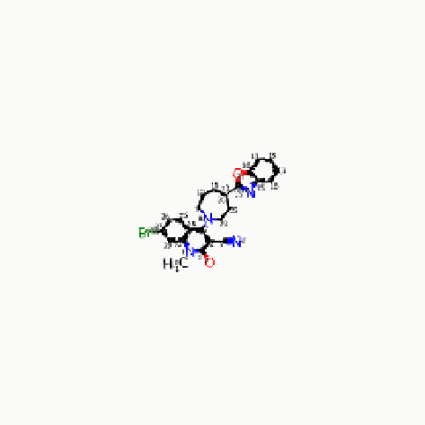 Cn1c(=O)c(C#N)c(N2CCC[C@@H](c3nc4ccccc4o3)CC2)c2ccc(Br)cc21